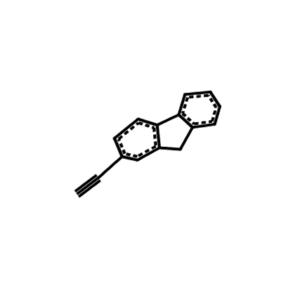 C#Cc1ccc2c(c1)Cc1ccccc1-2